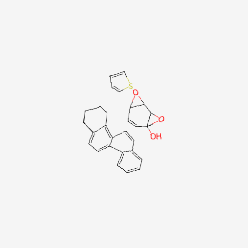 OC12C=CC3OC3C1O2.c1ccc2c(c1)ccc1c3c(ccc12)CCCC3.c1ccsc1